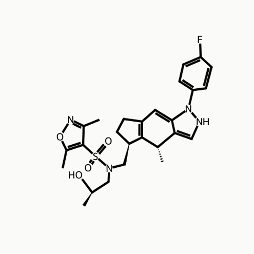 Cc1noc(C)c1S(=O)(=O)N(C[C@H]1CCC2=C1[C@@H](C)C1=CNN(c3ccc(F)cc3)C1=C2)C[C@@H](C)O